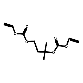 C=COC(=O)OCCC(C)(C)OC(=O)OC=C